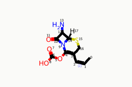 C/C=C\C1=C(OC(=O)O)N2C(=O)C(N)[C@@H]2SC1